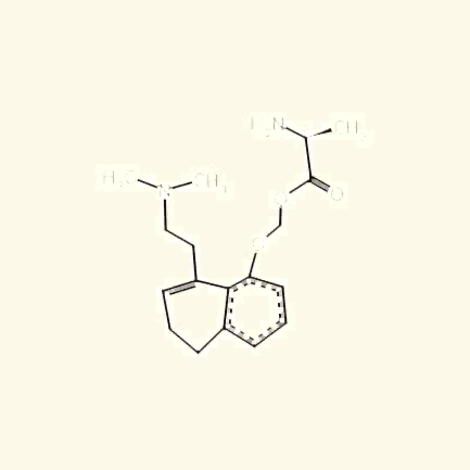 C[C@H](N)C(=O)OCOc1cccc2c1C(CCN(C)C)=CCC2